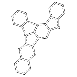 c1ccc2nc3c(nc2c1)c1cc2oc4ccccc4c2c2c4ccccc4n3c12